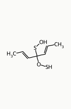 CC=CC(C=CC)(OS)SO